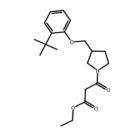 CCOC(=O)CC(=O)N1CCC(COc2ccccc2C(C)(C)C)C1